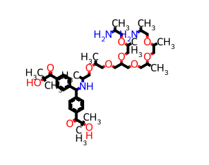 CC(N)COC(C)COC(C)COCC(COCC(C)OCC(C)NC(c1ccc(C(=O)C(C)(C)O)cc1)c1ccc(C(=O)C(C)(C)O)cc1)OCC(C)OCC(C)N